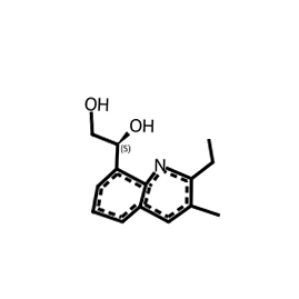 CCc1nc2c([C@H](O)CO)cccc2cc1C